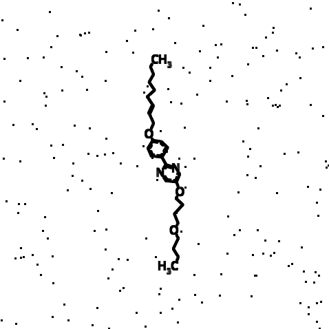 CCCCCCC=CCOc1ccc(-c2ncc(OCCCCOCCCC)cn2)cc1